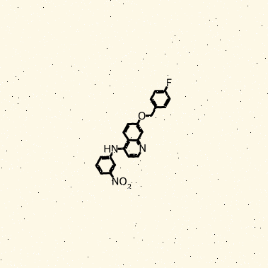 O=[N+]([O-])c1cccc(Nc2ccnc3cc(OCc4ccc(F)cc4)ccc23)c1